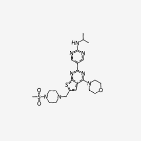 CC(C)Nc1ncc(-c2nc(N3CCOCC3)c3cc(CN4CCN(S(C)(=O)=O)CC4)sc3n2)cn1